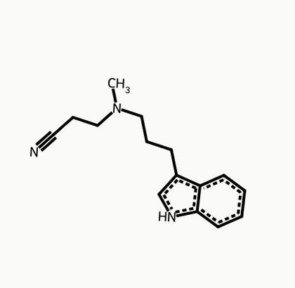 CN(CCC#N)CCCc1c[nH]c2ccccc12